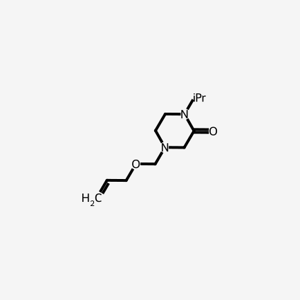 C=CCOCN1CCN(C(C)C)C(=O)C1